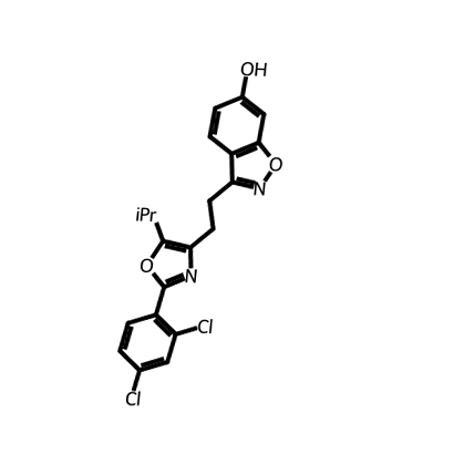 CC(C)c1oc(-c2ccc(Cl)cc2Cl)nc1CCc1noc2cc(O)ccc12